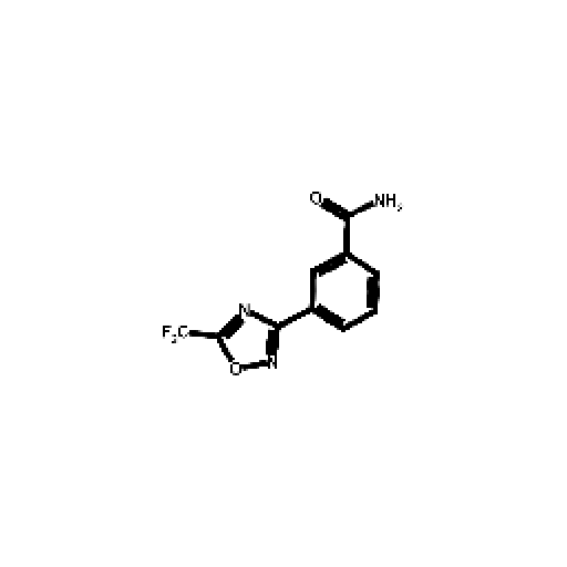 NC(=O)c1cccc(-c2noc(C(F)(F)F)n2)c1